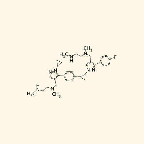 CNCCN(C)Cc1cn(C2CC2c2ccc(-c3c(CN(C)CCNC)cnn3C3CC3)cc2)nc1-c1ccc(F)cc1